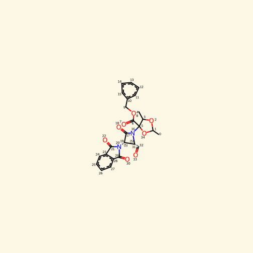 CC1OC(C)C(C(=O)OCc2ccccc2)(N2C(=O)[C@@H](N3C(=O)c4ccccc4C3=O)[C@H]2C=O)O1